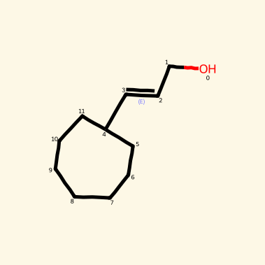 OC/C=C/C1CCCCCCC1